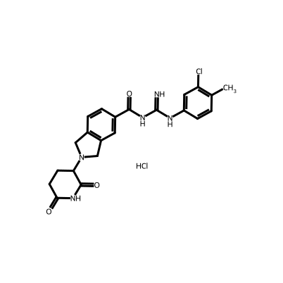 Cc1ccc(NC(=N)NC(=O)c2ccc3c(c2)CN(C2CCC(=O)NC2=O)C3)cc1Cl.Cl